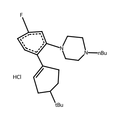 CCCCN1CCN(c2cc(F)ccc2C2=CCC(C(C)(C)C)CC2)CC1.Cl